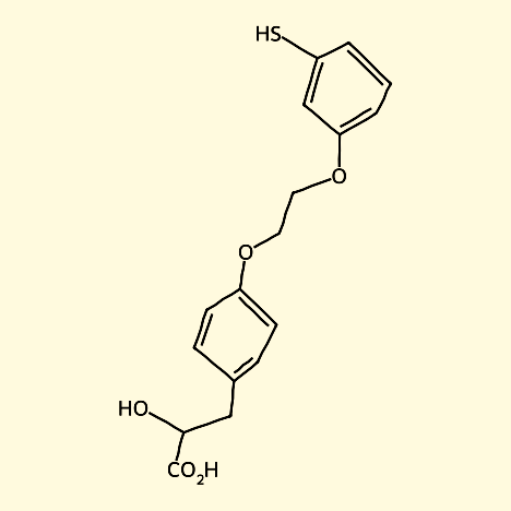 O=C(O)C(O)Cc1ccc(OCCOc2cccc(S)c2)cc1